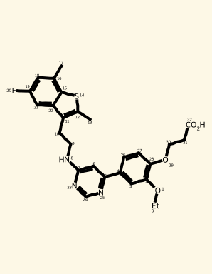 CCOc1cc(-c2cc(NCCc3c(C)sc4c(C)cc(F)cc34)ncn2)ccc1OCCC(=O)O